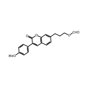 COc1ccc(-c2cc3ccc(CCCOC=O)cc3oc2=O)cc1